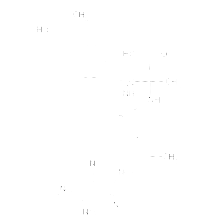 CC(Cn1cnc2c(N)ncnc21)OCP(=O)(NCc1ccc(C(C)C)cc1)NC(C)(C)C(=O)O